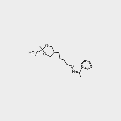 CC(=NOCCCCC1COC(C)(C(=O)O)OC1)c1ccccc1